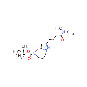 CN(C)C(=O)CCCc1cc2n(n1)CCCN(C(=O)OC(C)(C)C)C2